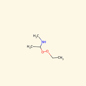 CCOOC(C)NC